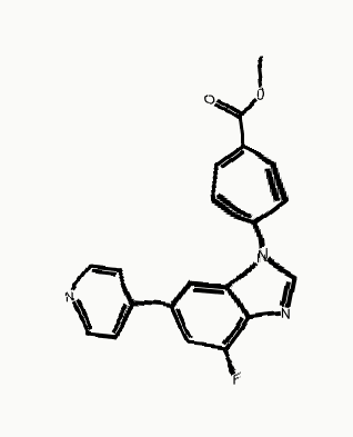 COC(=O)c1ccc(-n2cnc3c(F)cc(-c4ccncc4)cc32)cc1